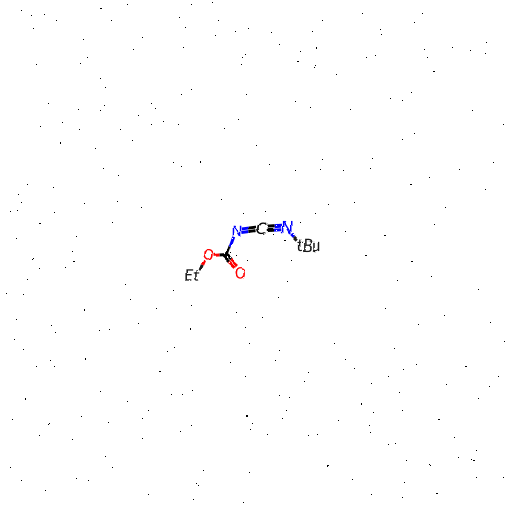 CCOC(=O)N=C=NC(C)(C)C